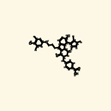 Cc1cc(OCCCc2c3n(c4c(-c5c(C)nn(C)c5C)c(Cl)ccc24)[C@@H](C)CN(Cc2ccc(C(=O)O)cc2)C3=O)cc(C)c1Cl